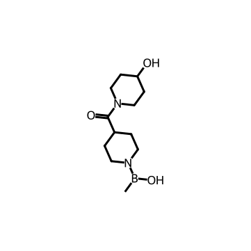 CB(O)N1CCC(C(=O)N2CCC(O)CC2)CC1